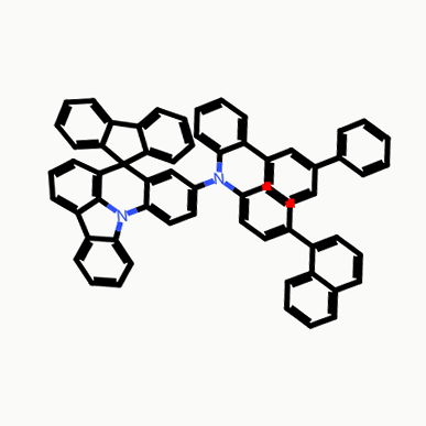 c1ccc(-c2cccc(-c3ccccc3N(c3ccc(-c4cccc5ccccc45)cc3)c3ccc4c(c3)C3(c5ccccc5-c5ccccc53)c3cccc5c6ccccc6n-4c35)c2)cc1